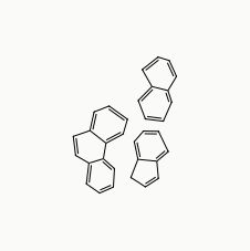 C1=Cc2ccccc2C1.c1ccc2c(c1)ccc1ccccc12.c1ccc2ccccc2c1